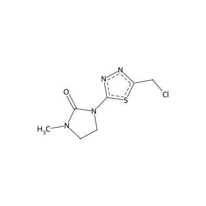 CN1CCN(c2nnc(CCl)s2)C1=O